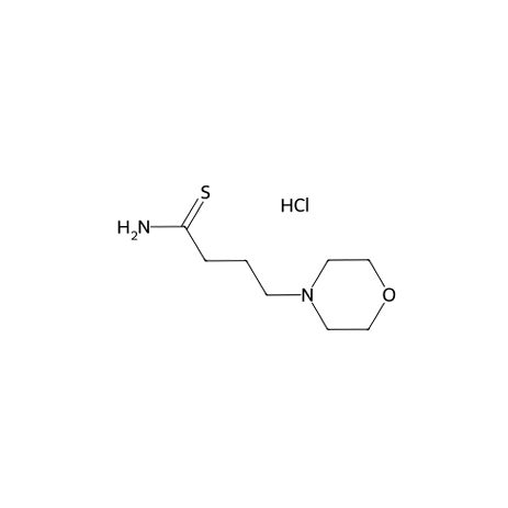 Cl.NC(=S)CCCN1CCOCC1